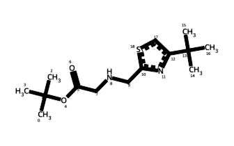 CC(C)(C)OC(=O)CNCc1nc(C(C)(C)C)cs1